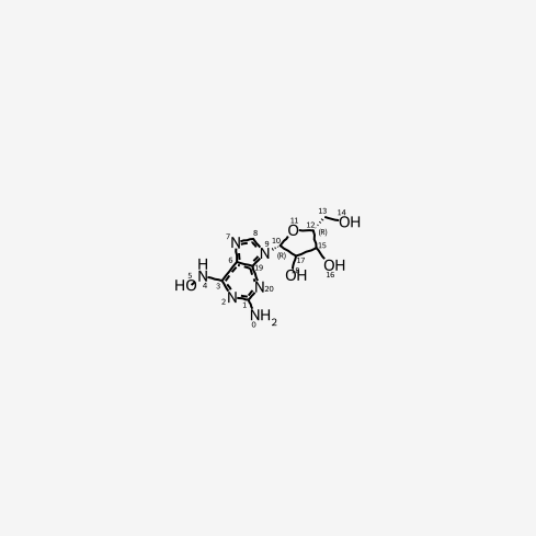 Nc1nc(NO)c2ncn([C@@H]3O[C@H](CO)C(O)C3O)c2n1